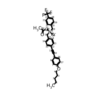 CCCCCOc1ccc(C#Cc2ccc(C[N+]([O-])(Cc3ccc(C(F)(F)F)cc3)OC(C)=O)cc2)cc1